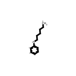 CCCCCCSc1c[c]ccc1